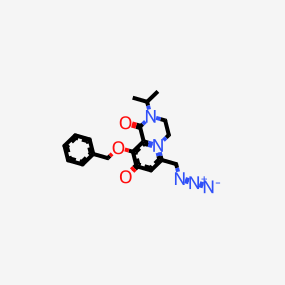 CC(C)N1CCn2c(CN=[N+]=[N-])cc(=O)c(OCc3ccccc3)c2C1=O